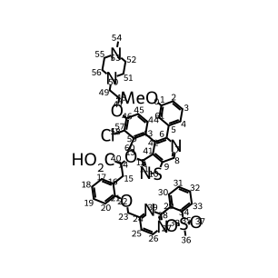 COc1cccc(-c2ncc3snc(OC(Cc4ccccc4OCc4ccnc(-c5ccccc5S(C)(=O)=O)n4)C(=O)O)c3c2-c2ccc(OCCN3CCN(C)CC3)c(Cl)c2C)c1